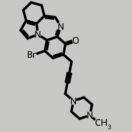 CN1CCN(CC#CCc2cc(Br)c3n4ccc5c4c(cnc-3c2=O)CCC5)CC1